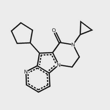 O=C1c2c(C3CCCC3)c3ncccc3n2CCN1C1CC1